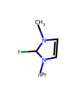 CCCN1C=CN(C)C1F